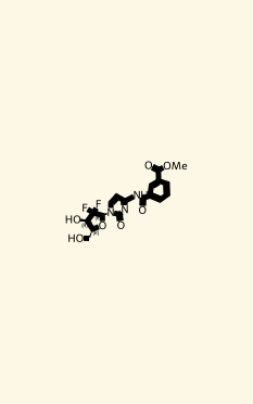 COC(=O)c1cccc(C(=O)Nc2ccn([C@@H]3O[C@H](CO)[C@@H](O)C3(F)F)c(=O)n2)c1